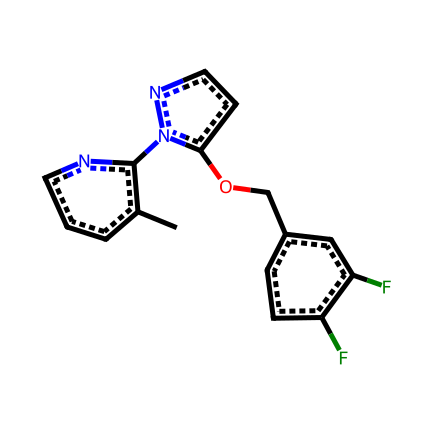 Cc1cccnc1-n1nccc1OCc1ccc(F)c(F)c1